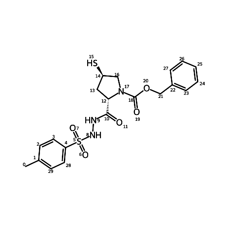 Cc1ccc(S(=O)(=O)NNC(=O)[C@@H]2C[C@@H](S)CN2C(=O)OCc2ccccc2)cc1